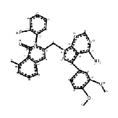 COc1ccc(-c2nn(Cc3cc4cccc(C)c4c(=O)n3-c3ccccc3F)c3ncnc(N)c23)cc1OC